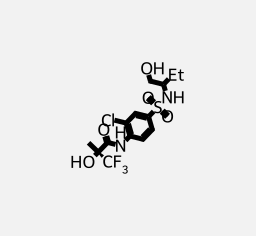 CCC(CO)NS(=O)(=O)c1ccc(NC(=O)[C@@](C)(O)C(F)(F)F)c(Cl)c1